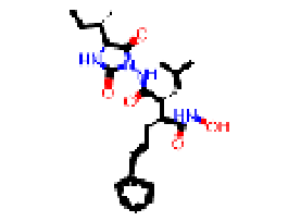 CC[C@H](C)[C@@H]1NC(=O)N(NC(=O)[C@H](CC(C)C)[C@H](CC=Cc2ccccc2)C(=O)NO)C1=O